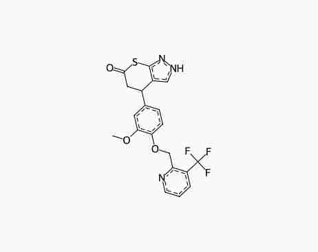 COc1cc(C2CC(=O)Sc3n[nH]cc32)ccc1OCc1ncccc1C(F)(F)F